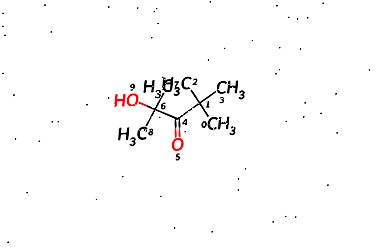 CC(C)(C)C(=O)C(C)(C)O